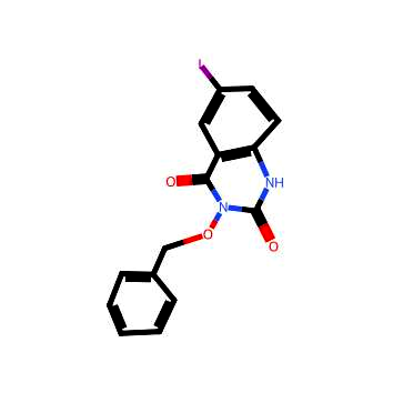 O=c1[nH]c2ccc(I)cc2c(=O)n1OCc1ccccc1